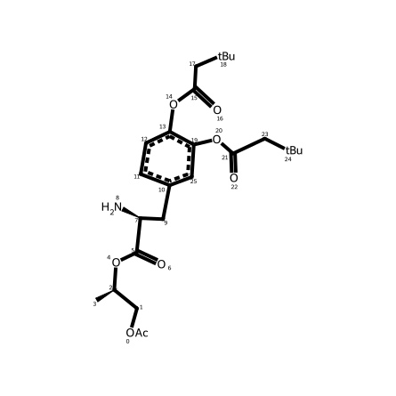 CC(=O)OC[C@@H](C)OC(=O)[C@@H](N)Cc1ccc(OC(=O)CC(C)(C)C)c(OC(=O)CC(C)(C)C)c1